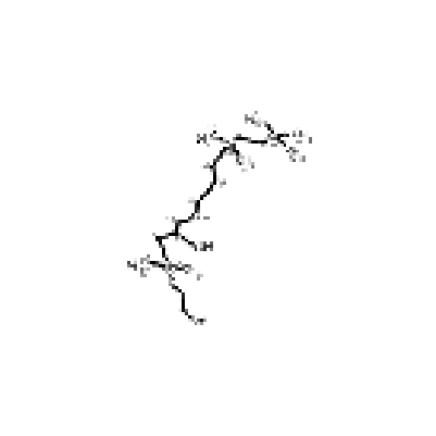 C[N+](C)(CCCO)CC(O)COCCC[Si](C)(C)CC[Si](C)(C)C